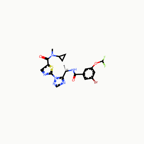 C[C@H](NC(=O)c1cc(Br)cc(OC(F)F)c1)c1ncnn1-c1ncc(C(=O)N(C)C2CC2)s1